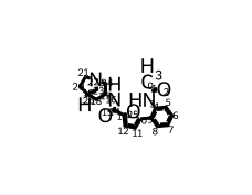 CC(=O)Nc1ccccc1-c1ccc(C(=O)N[C@@H]2C[C@@H]3CCN(C3)C2)o1